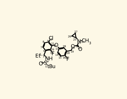 CC[C@@H](N[S+]([O-])C(C)(C)C)c1ccc(Cl)c(Oc2ccc(F)c(COC(=O)N(C)C3CC3)c2)c1F